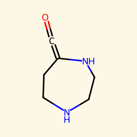 O=C=C1CCNCCN1